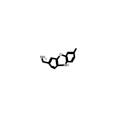 Cc1ccc2c(c1)Oc1cc(CN)ccc1N2